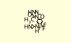 C[C@H]1C(=O)NN=C2COc3cc(C(F)(F)F)c(NC4CNC4)cc3N21